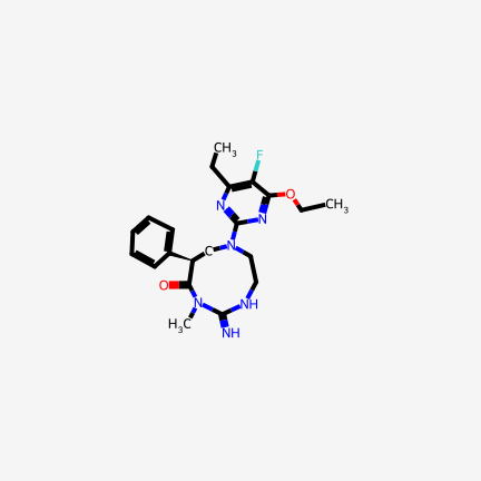 CCOc1nc(N2CCNC(=N)N(C)C(=O)[C@@H](c3ccccc3)C2)nc(CC)c1F